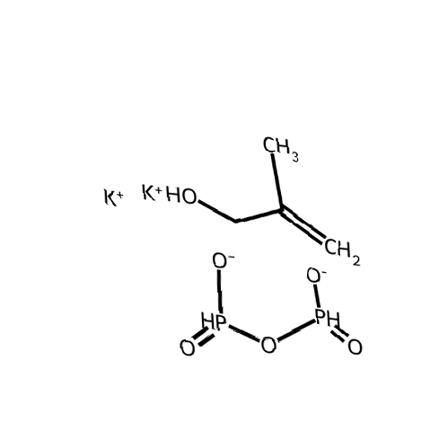 C=C(C)CO.O=[PH]([O-])O[PH](=O)[O-].[K+].[K+]